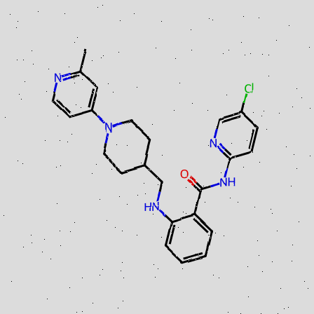 Cc1cc(N2CCC(CNc3ccccc3C(=O)Nc3ccc(Cl)cn3)CC2)ccn1